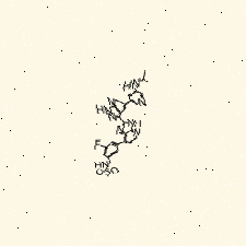 CC(C)Nc1cncc(-c2cnc3[nH]nc(-c4nc5c(-c6cc(F)cc(CNS(C)(=O)=O)c6)ccnc5[nH]4)c3c2)c1